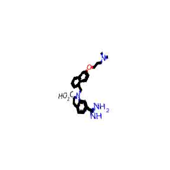 CN(C)CCCOc1ccc2c(CN3c4cc(C(=N)N)ccc4CC3C(=O)O)cccc2c1